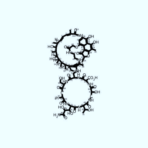 C/C1=C/C=C/[C@H](C)C(O)C(C)[C@@H](O)[C@@H](C)[C@H](C)[C@H](C)[C@@H](CO)/C=C/O[C@@]2(C)Oc3c(C)c(O)c4c(O)c(cc(OCC(=O)NCCNC(C)C(=O)NCC5NC(=O)C(C(=O)O)NC(=O)C(O)CNC(=O)C(C(C)O)NC(=O)C(C(O)C(O)C(N)=O)NC(=O)C(C(C)C)CC(=O)C(CO)NC5=O)c4c3C2=O)NC1=O